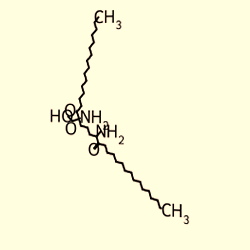 CCCCCCCCCCCCCCCC(=O)C(N)CCC[C@](N)(C(=O)O)C(=O)CCCCCCCCCCCCCCC